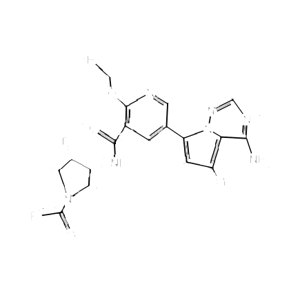 [2H]COc1ncc(-c2cc(C(F)(F)F)c3c(N)ncnn23)cc1C(=O)N[C@@H]1CN(C(=O)C(C)C)C[C@@H]1F